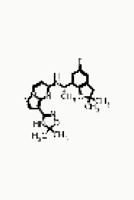 C[C@@H](Nc1ccn2ncc(C3=NOC(C)(C)N3)c2n1)c1cc(F)cc2c1OC(C)(C)C2